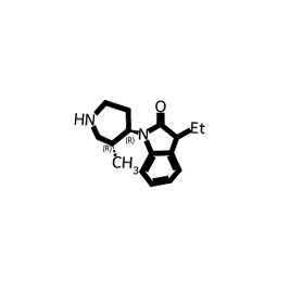 CCC1C(=O)N([C@@H]2CCNC[C@H]2C)c2ccccc21